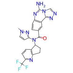 Cn1ccc(N(C(=O)c2ccc3nc(N)n4cnnc4c3c2)C2CCc3nc(C(F)(F)F)ccc32)n1